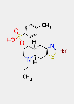 CCCN1CCC[C@H]2Cc3nc(Br)sc3C[C@@H]21.Cc1ccc(S(=O)(=O)O)cc1